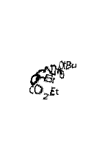 CCOC(=O)c1ccc(CN2CCN(C(=O)OC(C)(C)C)CC2)c(Br)c1